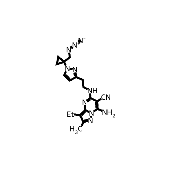 CCc1c(C)nn2c(N)c(C#N)c(NCCc3ccn(C4(CN=[N+]=[N-])CC4)n3)nc12